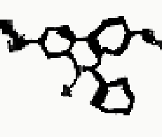 CC[n+]1c(-c2ccccc2)c2cc(N)ccc2c2ccc(NS)cc21